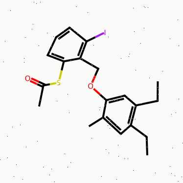 CCc1cc(C)c(OCc2c(I)cccc2SC(C)=O)cc1CC